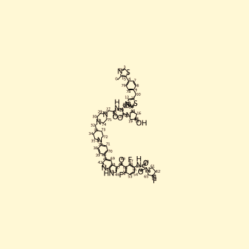 Cc1ncsc1-c1ccc(Cc2cnc([C@@H]3C[C@@H](O)CN3C(=O)[C@@H](NC(=O)CN3CCN(CC4CCN(c5ccc(-c6cnc7[nH]cc(C(=O)c8c(F)ccc(NS(=O)(=O)N9CC[C@@H](F)C9)c8F)c7c6)cc5)CC4)CC3)C(C)(C)C)s2)cc1